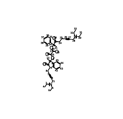 CCN(CC)CC#CCCC(=O)C(C)(OC(=O)C(=O)OC(C)(C(=O)CCC#CCN(CC)CC)c1ccccc1)c1ccccc1